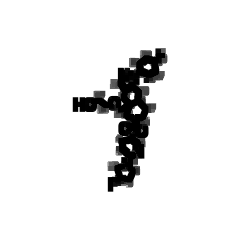 O=S(=O)(c1ccc(N2CC[C@@H](F)C2)nc1)N1CCC2=Cc3c(cnn3-c3ccc(F)cc3)CC2(COCCO)C1